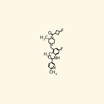 Cc1ccc(C(=O)Nc2cc(F)cc(CN3CCN(C(=O)C4CC(F)C4)C(C)C3)c2C)cn1